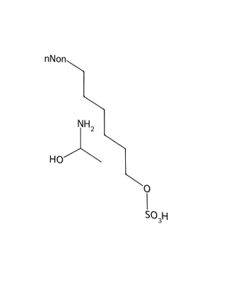 CC(N)O.CCCCCCCCCCCCCCCOS(=O)(=O)O